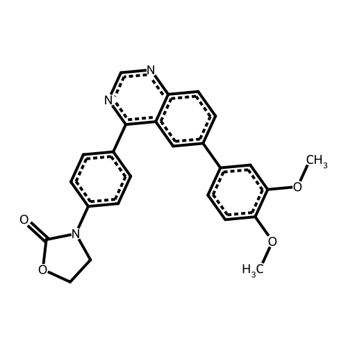 COc1ccc(-c2ccc3ncnc(-c4ccc(N5CCOC5=O)cc4)c3c2)cc1OC